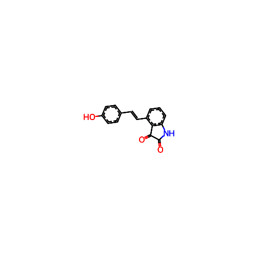 O=C1Nc2cccc(C=Cc3ccc(O)cc3)c2C1=O